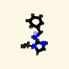 CCCn1ccnc1/N=C/c1ccccc1